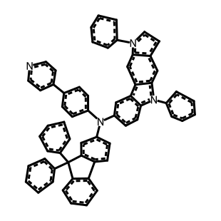 c1ccc(-n2ccc3cc4c(cc32)c2cc(N(c3ccc(-c5ccncc5)cc3)c3ccc5c(c3)C(c3ccccc3)(c3ccccc3)c3ccccc3-5)ccc2n4-c2ccccc2)cc1